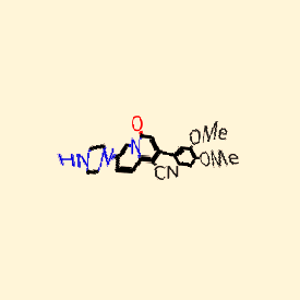 COc1ccc(-c2cc(=O)n3cc(N4CCNCC4)ccc3c2C#N)cc1OC